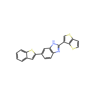 c1ccc2sc(-c3ccc4nc(-c5csc6ccsc56)[nH]c4c3)cc2c1